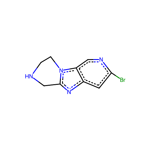 Brc1cc2nc3n(c2cn1)CCNC3